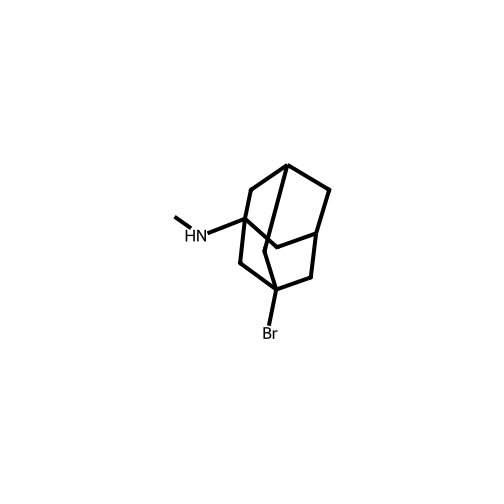 CNC12CC3CC(CC(Br)(C3)C1)C2